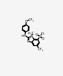 CCS(=O)(=O)c1cc(C(F)(F)F)cc2nc(Nc3ccc(OC(F)(F)F)cc3)n(C)c12